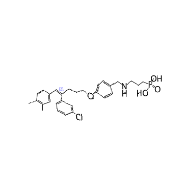 Cc1ccc(/C=C(/CCCOc2ccc(CNCCCP(=O)(O)O)cc2)c2cccc(Cl)c2)cc1C